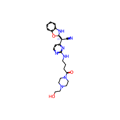 N#C/C(=C1\Nc2ccccc2O1)c1ccnc(NCCCC(=O)N2CCN(CCO)CC2)n1